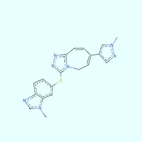 Cn1cc(C2=CCn3c(nnc3Sc3ccc4ncn(C)c4c3)C=C2)cn1